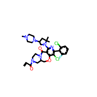 C=CC(=O)N1CCN2C(=O)c3c(N4CC(N5CCN(C)CC5)CC4(C)C)nc(-c4c(F)cccc4Cl)c(Cl)c3OCC2C1